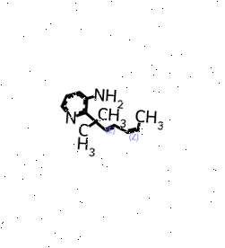 C/C=C\C=C\C(C)(C)c1ncccc1N